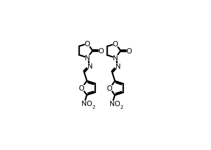 O=C1OCCN1N=Cc1ccc([N+](=O)[O-])o1.O=C1OCCN1N=Cc1ccc([N+](=O)[O-])o1